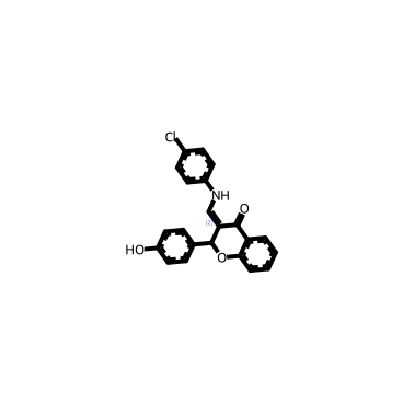 O=C1/C(=C\Nc2ccc(Cl)cc2)C(c2ccc(O)cc2)Oc2ccccc21